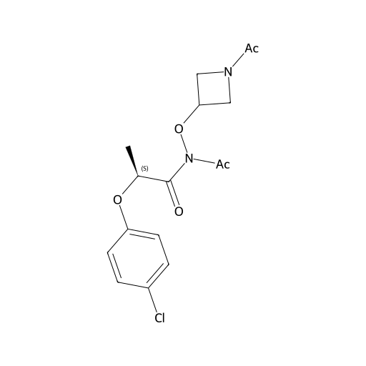 CC(=O)N1CC(ON(C(C)=O)C(=O)[C@H](C)Oc2ccc(Cl)cc2)C1